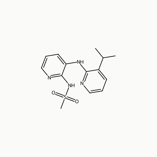 CC(C)c1cccnc1Nc1cccnc1NS(C)(=O)=O